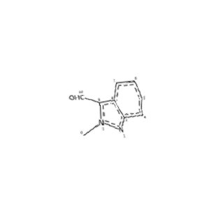 Cn1nc2ccccc2c1C=O